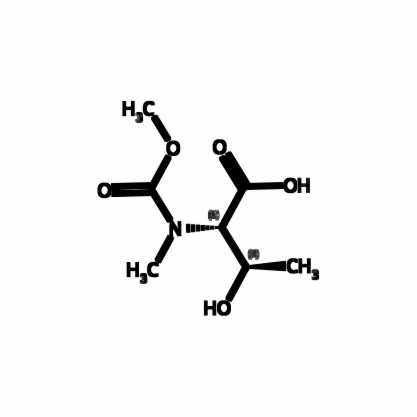 COC(=O)N(C)[C@H](C(=O)O)[C@@H](C)O